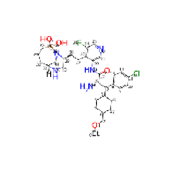 CCOCC1CCC([C@H](c2ccc(Cl)cc2)[C@H](N)C(=O)Nc2cncc(F)c2CC[C@H]2CN[C@@H]3CCCS(O)(O)N2C3)CC1